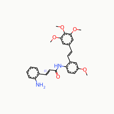 COc1ccc(NC(=O)/C=C/c2ccccc2N)c(C=Cc2cc(OC)c(OC)c(OC)c2)c1